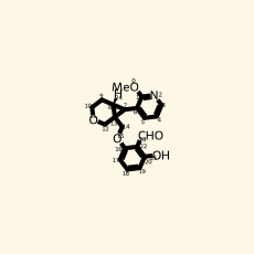 COc1ncccc1C1[C@H]2CCOCC12COc1cccc(O)c1C=O